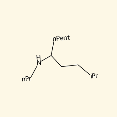 [CH2]CCNC(CCCCC)CCC(C)C